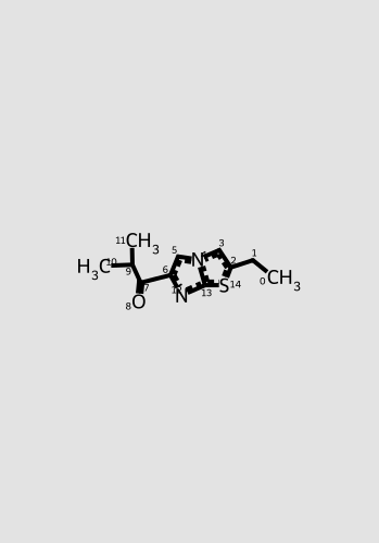 CCc1cn2cc(C(=O)C(C)C)nc2s1